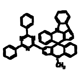 CP1c2ccccc2C2(c3ccccc3-n3c4ccccc4c4cccc2c43)c2cc(-c3nc(-c4ccccc4)nc(-c4ccccc4)n3)ccc21